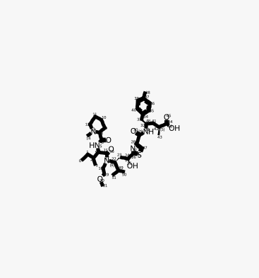 CCC(C)C(NC(=O)C1CCCCN1C)C(=O)N(CCOC)[C@H](C[C@@H](O)c1nc(C(=O)N[C@@H](Cc2ccc(C)cc2)C[C@H](C)C(=O)O)cs1)C(C)C